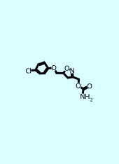 NC(=O)OCC1=NOC(COc2ccc(Cl)cc2)C1